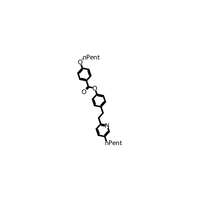 CCCCCOc1ccc(C(=O)Oc2ccc(CCc3ccc(CCCCC)cn3)cc2)cc1